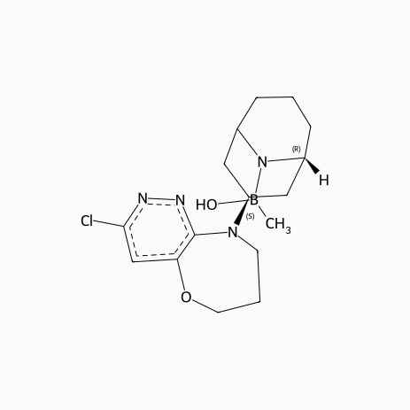 CB(O)N1C2CCC[C@@H]1C[C@@H](N1CCCOc3cc(Cl)nnc31)C2